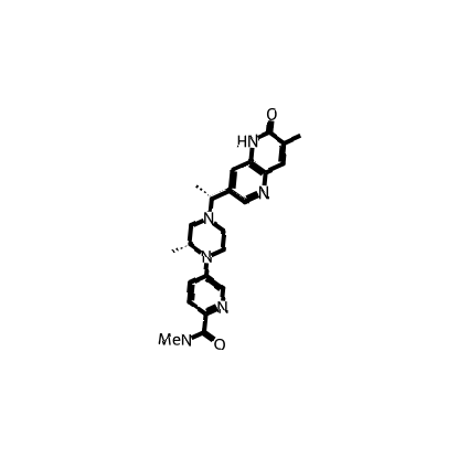 CNC(=O)c1ccc(N2CCN([C@H](C)c3cnc4cc(C)c(=O)[nH]c4c3)C[C@H]2C)cn1